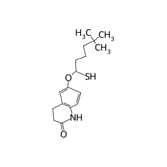 CC(C)(C)CCCC(S)Oc1ccc2c(c1)CCC(=O)N2